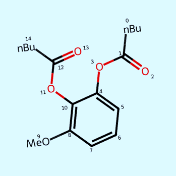 CCCCC(=O)Oc1cccc(OC)c1OC(=O)CCCC